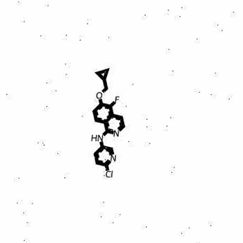 Fc1c(OCC2CC2)ccc2c(Nc3ccc(Cl)nc3)nccc12